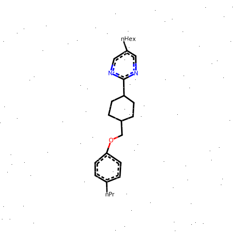 CCCCCCc1cnc(C2CCC(COc3ccc(CCC)cc3)CC2)nc1